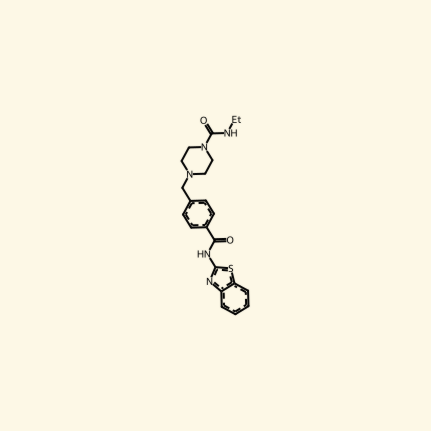 CCNC(=O)N1CCN(Cc2ccc(C(=O)Nc3nc4ccccc4s3)cc2)CC1